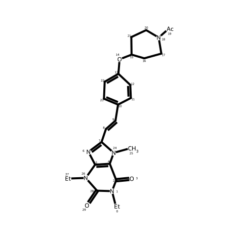 CCn1c(=O)c2c(nc(/C=C/c3ccc(OC4CCN(C(C)=O)CC4)cc3)n2C)n(CC)c1=O